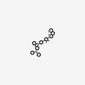 Cc1c(-c2ccc(-n3c4ccccc4c4cc(N(c5ccccc5)c5ccccc5)ccc43)cc2)ccc(-c2ccc3ccc4cccnc4c3n2)c1C